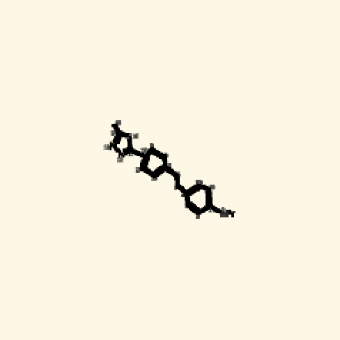 CCCc1ccc(CCc2ccc(-c3nnc(C)s3)cc2)cc1